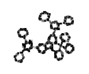 c1ccc(-c2cc(-c3ccccc3)cc(-c3cc4c5c(c3)c3cc(-c6nc(-c7ccccc7)nc(-c7ccccc7)n6)ccc3n5-c3ccccc3C4(c3ccccc3)c3ccccc3)c2)cc1